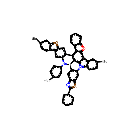 CC(C)(C)c1ccc(N2B3c4cc5nc(-c6ccccc6)sc5cc4-n4c5ccc(C(C)(C)C)cc5c5c6oc7ccccc7c6c(c3c54)-c3cc4sc5cc(C(C)(C)C)ccc5c4cc32)cc1